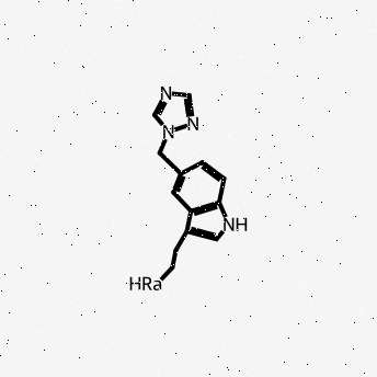 [RaH][CH2]Cc1c[nH]c2ccc(Cn3cncn3)cc12